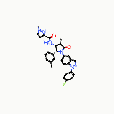 Cc1cccc([C@@H]2[C@@H](NC(=O)c3ccn(C)n3)[C@@H](C)C(=O)N2c2ccc3c(cnn3-c3ccc(F)cc3)c2)c1